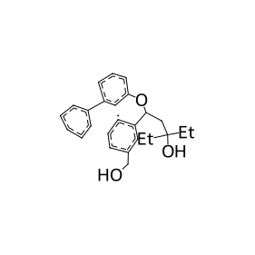 CCC(O)(CC)CC(Oc1cccc(-c2ccccc2)c1)c1[c]ccc(CO)c1